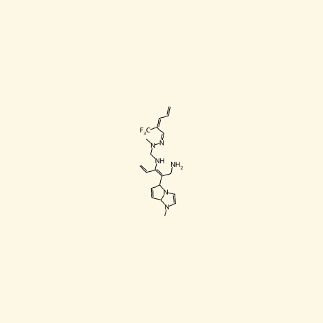 C=C/C=C(\C=N/N(C)CN/C(C=C)=C(\CN)C1C=CC2N(C)C=CN12)C(F)(F)F